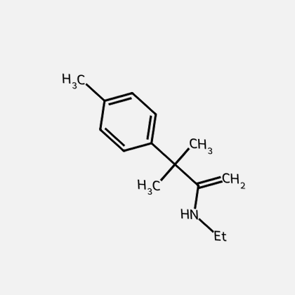 C=C(NCC)C(C)(C)c1ccc(C)cc1